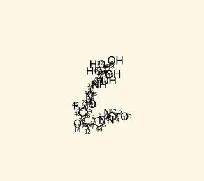 COCc1cnc(N2CCC([C@H]3C[C@H]3C(OC)c3ccc(CC(=O)N4CC(CNC[C@H](O)[C@@H](O)[C@H](O)[C@H](O)CO)C4)c(F)c3)CC2)nc1